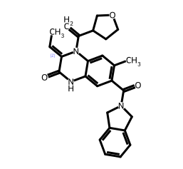 C=C(C1CCOC1)N1/C(=C\C)C(=O)Nc2cc(C(=O)N3Cc4ccccc4C3)c(C)cc21